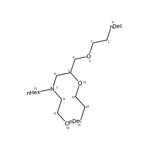 CCCCCCCCCCCCOCC(CN(CCCl)CCCCCC)OCCCCCCCCCCCC